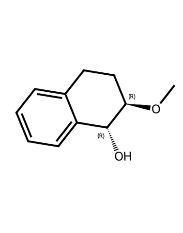 CO[C@@H]1CCc2ccccc2[C@H]1O